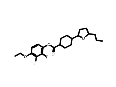 CCCC1CCC(C2CCC(C(=O)Oc3ccc(OCC)c(F)c3F)CC2)O1